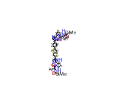 COC(=O)NC(C(=O)N1CCCC1c1ncc(C2=CC3SC(c4ccc(-c5cnc(C6CCCN6C(=O)C(NC(=O)OC)C(C)C)[nH]5)cc4)=CC3S2)[nH]1)C(C)C